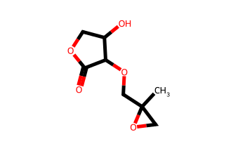 CC1(COC2C(=O)OCC2O)CO1